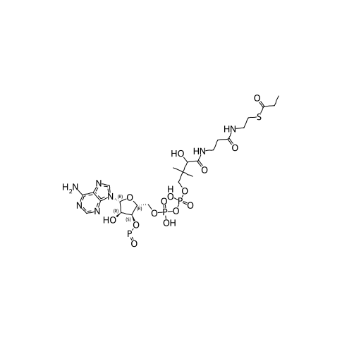 CCC(=O)SCCNC(=O)CCNC(=O)C(O)C(C)(C)COP(=O)(O)OP(=O)(O)OC[C@H]1O[C@@H](n2cnc3c(N)ncnc32)[C@H](O)[C@@H]1OP=O